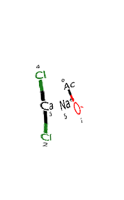 CC(=O)[O-].[Cl][Ca][Cl].[Na+]